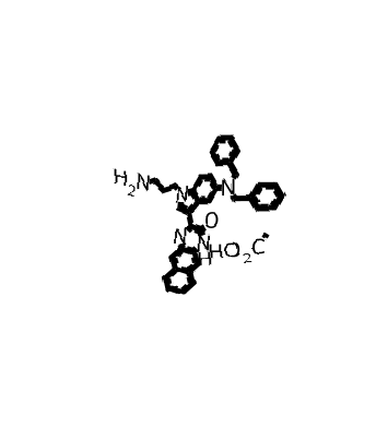 CC(=O)O.NCCCn1cc(-c2nc3cc4ccccc4cc3[nH]c2=O)c2cc(N(Cc3ccccc3)Cc3ccccc3)ccc21